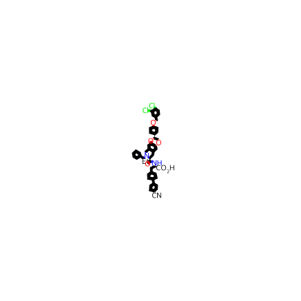 CCC(c1ccccc1)N1Cc2cc3c(cc2C[C@H]1C(=O)N[C@@H](Cc1ccc(-c2ccc(C#N)cc2)cc1)C(=O)O)OC[C@@H](c1ccc(OCc2ccc(Cl)c(Cl)c2)cc1)O3